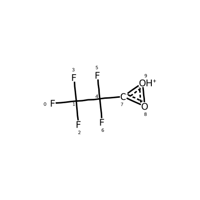 FC(F)(F)C(F)(F)[c-]1o[oH+]1